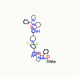 COC(=O)N[C@@H](C(=O)N1CCC[C@H]1c1ncc(-c2cc(F)c(N3CCC(c4cnc([C@@H]5CCCCN5C(=O)[C@@H](c5ccccc5)N5CCCCC5)[nH]4)CC3)c(F)c2)[nH]1)c1ccccc1